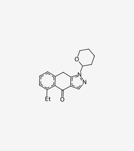 CCc1cccc2c1C(=O)c1cnn(C3CCCCO3)c1C2